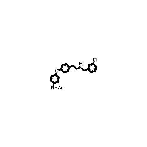 CC(=O)Nc1ccc(Oc2ccc(CCNCc3cccc(Cl)c3)cc2)cc1